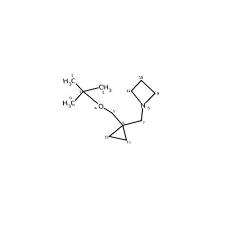 CC(C)(C)OCC1(CN2CCC2)CC1